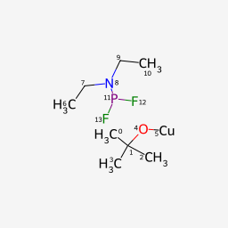 CC(C)(C)[O][Cu].CCN(CC)P(F)F